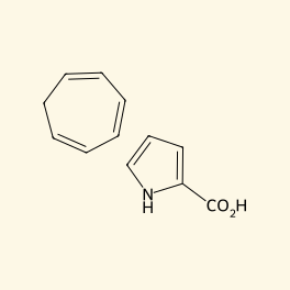 C1=CC=CCC=C1.O=C(O)c1ccc[nH]1